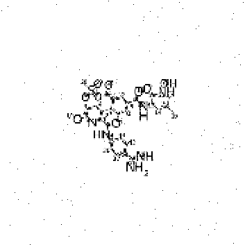 COc1ccc(-c2ccc(C(=O)NC(CC(C)C)C(=O)NO)cc2C(=O)OS(C)(=O)=O)c(C(=O)Nc2ccc(C(=N)N)cc2)n1